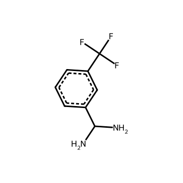 NC(N)c1cccc(C(F)(F)F)c1